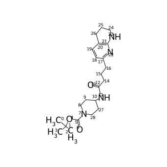 CC(C)(C)OC(=O)N1CCC(NC(=O)CCCc2ccc3c(n2)NCCC3)CC1